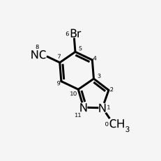 Cn1cc2cc(Br)c(C#N)cc2n1